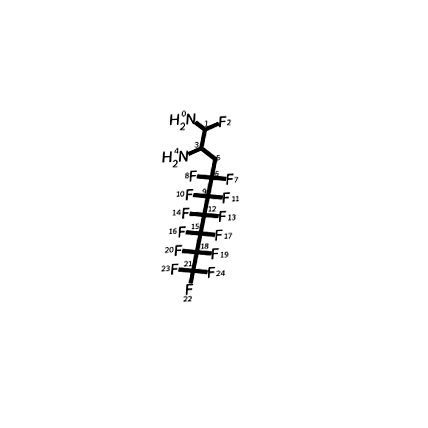 NC(F)C(N)CC(F)(F)C(F)(F)C(F)(F)C(F)(F)C(F)(F)C(F)(F)F